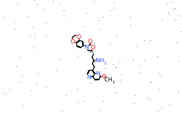 COc1ccc2nccc(CC[C@@H](N)CC[C@@H]3CN(c4ccc5c(c4)OCCO5)C(=O)O3)c2n1